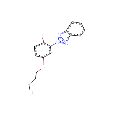 CCCCOc1ccc(O)c(-n2n3c4ccccc4n23)c1